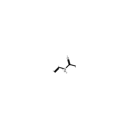 C=C[SiH2]C(C)=O